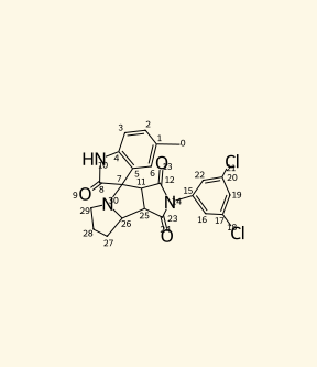 Cc1ccc2c(c1)C1(C(=O)N2)C2C(=O)N(c3cc(Cl)cc(Cl)c3)C(=O)C2C2CCCN21